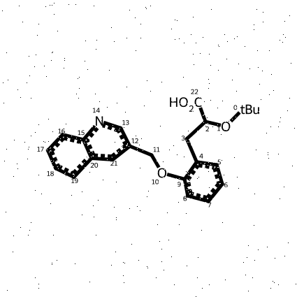 CC(C)(C)OC(Cc1ccccc1OCc1cnc2ccccc2c1)C(=O)O